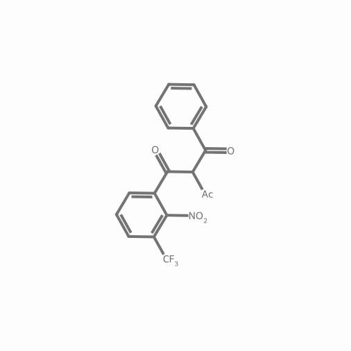 CC(=O)C(C(=O)c1ccccc1)C(=O)c1cccc(C(F)(F)F)c1[N+](=O)[O-]